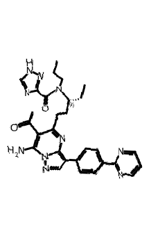 CCCN(C(=O)c1nc[nH]n1)[C@H](CC)CCc1nc2c(-c3ccc(-c4ncccn4)cc3)cnn2c(N)c1C(C)=O